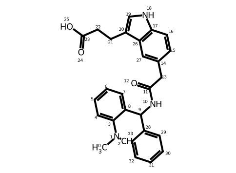 CN(C)c1ccccc1C(NC(=O)Cc1ccc2[nH]cc(CCC(=O)O)c2c1)c1ccccc1